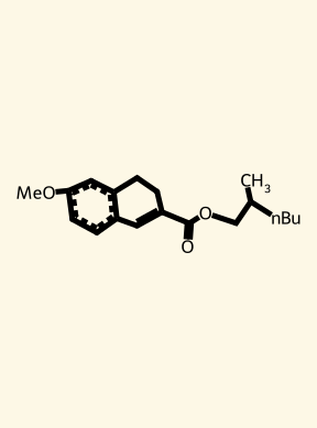 CCCCC(C)COC(=O)C1=Cc2ccc(OC)cc2CC1